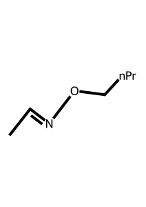 CC=NOCCCC